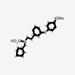 COc1ccc(Sc2cccc(CCN(Cc3ccccc3)C(=O)O)c2)cc1